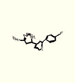 Fc1ccc(-c2cc(-c3cc(Br)n[nH]3)ccn2)cc1